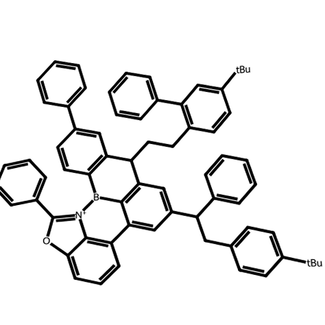 CC(C)(C)c1ccc(CC(c2ccccc2)c2cc3c4c(c2)C(CCc2ccc(C(C)(C)C)cc2-c2ccccc2)c2cc(-c5ccccc5)ccc2B4[n+]2c(-c4ccccc4)oc4cccc-3c42)cc1